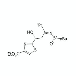 CCCC[S+]([O-])/N=C(\C[C@@H](O)c1nc(C(=O)OCC)cs1)C(C)C